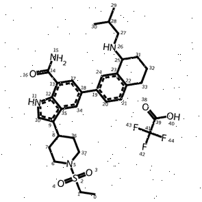 CCS(=O)(=O)N1CCC(c2c[nH]c3c(C(N)=O)cc(-c4ccc5c(c4)C(NCC(C)C)CCC5)cc23)CC1.O=C(O)C(F)(F)F